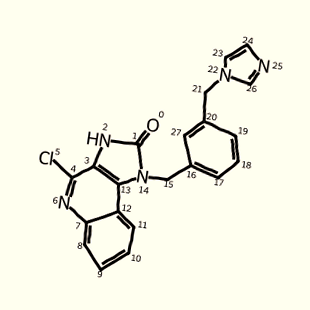 O=c1[nH]c2c(Cl)nc3ccccc3c2n1Cc1cccc(Cn2ccnc2)c1